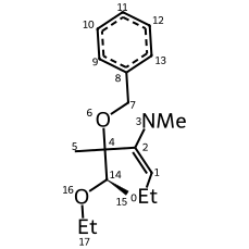 CC/C=C(/NC)C(C)(OCc1ccccc1)[C@@H](C)OCC